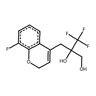 OCC(O)(CC1=CCOc2c(F)cccc21)C(F)(F)F